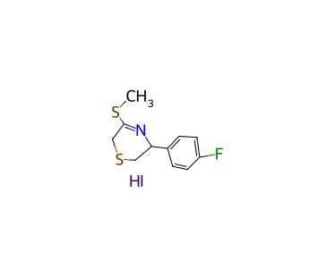 CSC1=NC(c2ccc(F)cc2)CSC1.I